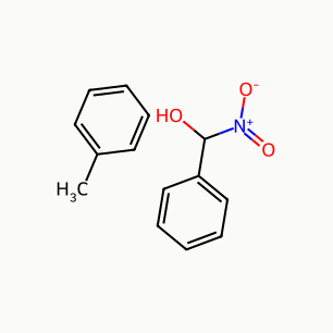 Cc1ccccc1.O=[N+]([O-])C(O)c1ccccc1